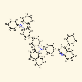 c1ccc(-c2cc(-c3ccc(-n4c5ccc(-c6ccc7c(c6)c6ccccc6n7-c6ccccc6)cc5c5ccc6ccccc6c54)cc3)nc3ccccc23)cc1